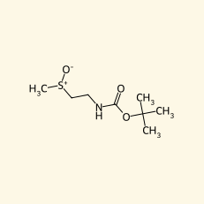 C[S+]([O-])CCNC(=O)OC(C)(C)C